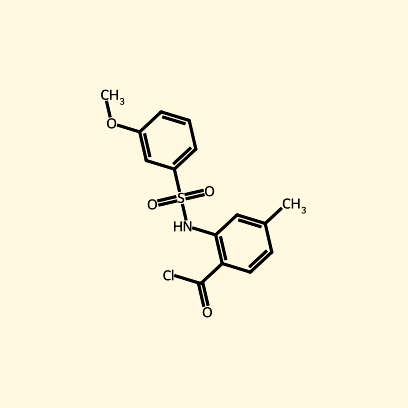 COc1cccc(S(=O)(=O)Nc2cc(C)ccc2C(=O)Cl)c1